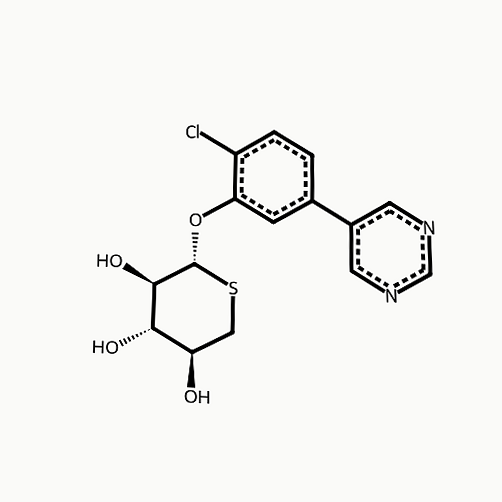 O[C@@H]1[C@@H](O)[C@H](Oc2cc(-c3cncnc3)ccc2Cl)SC[C@H]1O